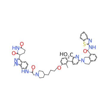 Cc1c(OCCCCC2CCN(CC(=O)Nc3ccc4c(C5CCC(=O)NC5=O)nn(C)c4c3)CC2)cccc1-c1ccc(N2CCc3cccc(C(=O)Nc4nc5ccccc5s4)c3C2)nc1C(=O)O